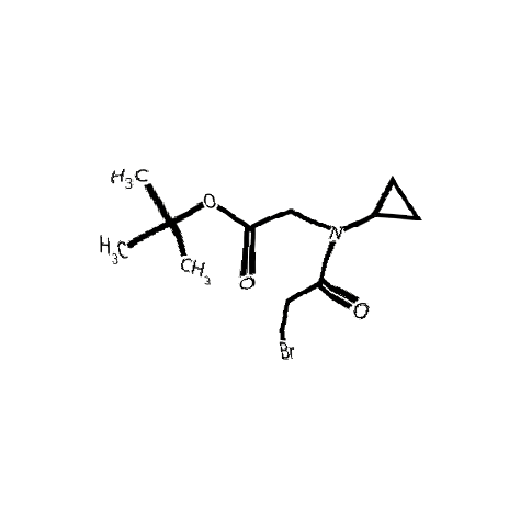 CC(C)(C)OC(=O)CN(C(=O)CBr)C1CC1